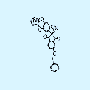 COc1ccc(C2(CC#N)C(=O)c3ccc(OCc4ccccc4)cc3C2=O)cc1OC1CCCC1